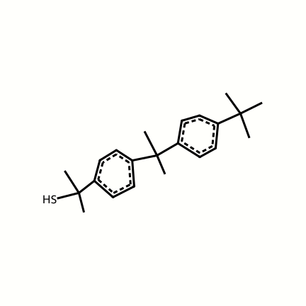 CC(C)(C)c1ccc(C(C)(C)c2ccc(C(C)(C)S)cc2)cc1